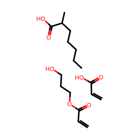 C=CC(=O)O.C=CC(=O)OCCCO.CCCCCC(C)C(=O)O